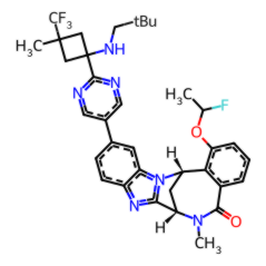 CC(F)Oc1cccc2c1[C@@H]1C[C@@H](c3nc4ccc(-c5cnc(C6(NCC(C)(C)C)CC(C)(C(F)(F)F)C6)nc5)cc4n31)N(C)C2=O